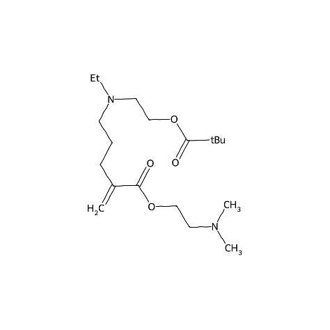 C=C(CCCN(CC)CCOC(=O)C(C)(C)C)C(=O)OCCN(C)C